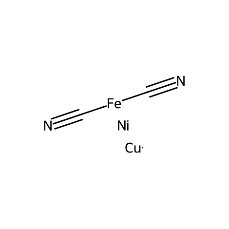 N#[C][Fe][C]#N.[Cu].[Ni]